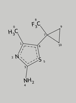 Cc1nc(N)sc1C1(C(F)(F)F)CC1